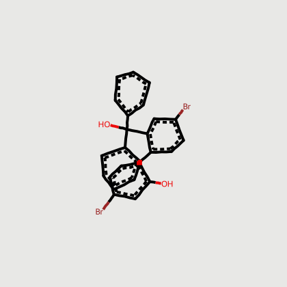 Oc1cc(Br)ccc1-c1ccc(Br)cc1C(O)(c1ccccc1)c1ccccc1